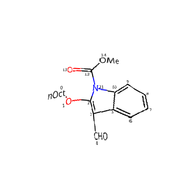 CCCCCCCCOc1c(C=O)c2ccccc2n1C(=O)OC